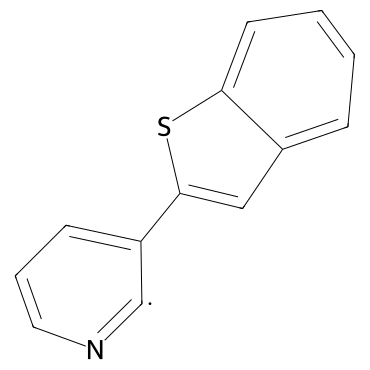 [c]1ncccc1-c1cc2ccccc2s1